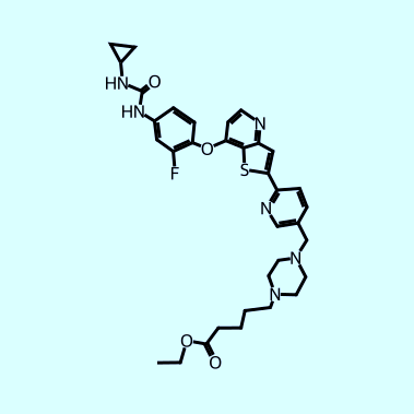 CCOC(=O)CCCCN1CCN(Cc2ccc(-c3cc4nccc(Oc5ccc(NC(=O)NC6CC6)cc5F)c4s3)nc2)CC1